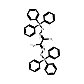 CC(=N\O[Si](c1ccccc1)(c1ccccc1)c1ccccc1)/C(C)=N/O[Si](c1ccccc1)(c1ccccc1)c1ccccc1